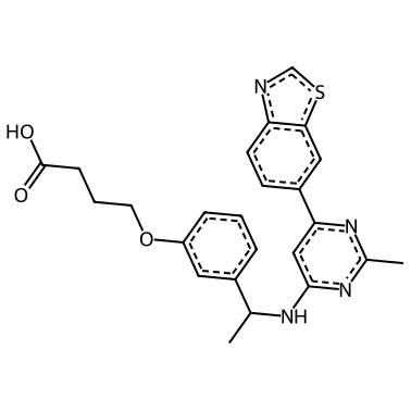 Cc1nc(NC(C)c2cccc(OCCCC(=O)O)c2)cc(-c2ccc3ncsc3c2)n1